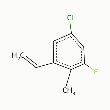 C=Cc1cc(Cl)cc(F)c1C